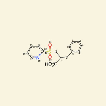 O=C(O)C(Cc1ccccc1)CS(=O)(=O)c1ccccn1